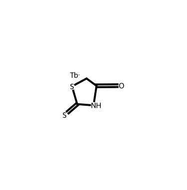 O=C1CSC(=S)N1.[Tb]